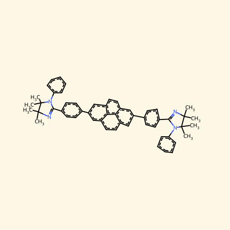 CC1(C)N=C(c2ccc(-c3cc4ccc5cc(-c6ccc(C7=NC(C)(C)C(C)(C)N7c7ccccc7)cc6)cc6ccc(c3)c4c56)cc2)N(c2ccccc2)C1(C)C